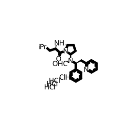 CC(C)C[C@H](N)C(=O)N1CCC[C@H]1N(C=O)[C@@H](Cc1ccccn1)c1ccccc1.Cl.Cl.Cl.Cl